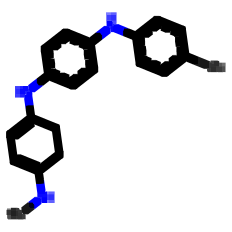 CC(C)(C)NC1=CC=C(Nc2ccc(Nc3ccc(C(C)(C)C)cc3)cc2)CC1